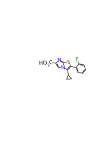 O=C(O)c1cn2c(C3CC3)c(-c3ccccc3F)sc2n1